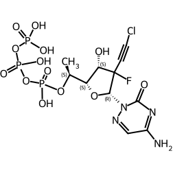 C[C@H](OP(=O)(O)OP(=O)(O)OP(=O)(O)O)[C@H]1O[C@@H](n2ncc(N)nc2=O)C(F)(C#CCl)[C@H]1O